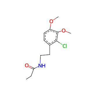 CCC(=O)NCCc1ccc(OC)c(OC)c1Cl